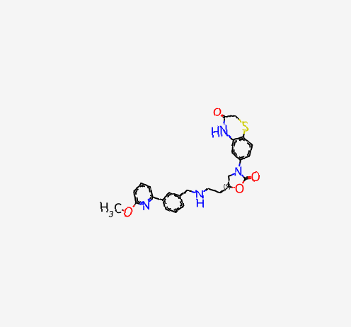 COc1cccc(-c2cccc(CNCC[C@H]3CN(c4ccc5c(c4)NC(=O)CS5)C(=O)O3)c2)n1